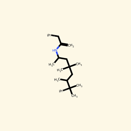 C=C(CC(C)C)NC(C)CC(C)(C)CC(C)C(C)(C)C(C)C